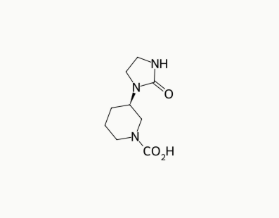 O=C(O)N1CCC[C@@H](N2CCNC2=O)C1